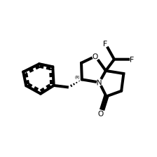 O=C1CCC2(C(F)F)OC[C@@H](Cc3ccccc3)N12